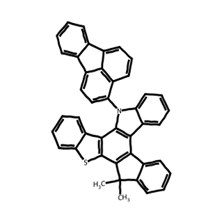 CC1(C)c2ccccc2-c2c1c1sc3ccccc3c1c1c2c2ccccc2n1-c1ccc2c3c(cccc13)-c1ccccc1-2